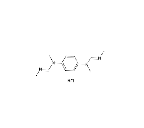 CN=CN(C)c1ccc(N(C)C=NC)cc1.Cl